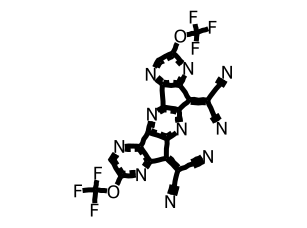 N#CC(C#N)=C1c2nc(OC(F)(F)F)cnc2-c2nc3c(nc21)C(=C(C#N)C#N)c1nc(OC(F)(F)F)cnc1-3